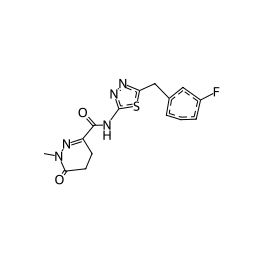 CN1N=C(C(=O)Nc2nnc(Cc3cccc(F)c3)s2)CCC1=O